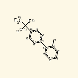 Cc1ccccc1-c1ccc(C(F)(F)C(F)(F)F)cc1